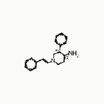 N[C@H]1CCN(C=Cc2ccccc2)C[C@H]1c1ccccc1